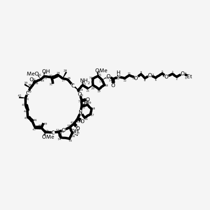 CCOCCOCCOCCOCCNC(=O)O[C@@H]1CC[C@@H](C[C@@H](N)[C@@H]2CC[C@H](C)/C=C(\C)[C@@H](O)[C@@H](OC)C(=O)[C@H](C)C[C@H](C)/C=C/C=C/C=C(\C)[C@@H](OC)C[C@@H]3CC[C@@H](C)[C@@](O)(O3)C(=O)C(=O)N3CCCC[C@H]3C(=O)O2)C[C@H]1OC